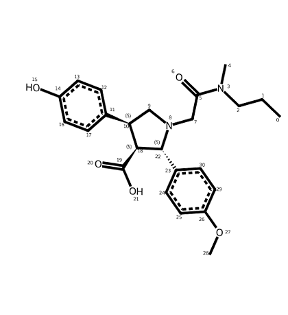 CCCN(C)C(=O)CN1C[C@H](c2ccc(O)cc2)[C@H](C(=O)O)[C@H]1c1ccc(OC)cc1